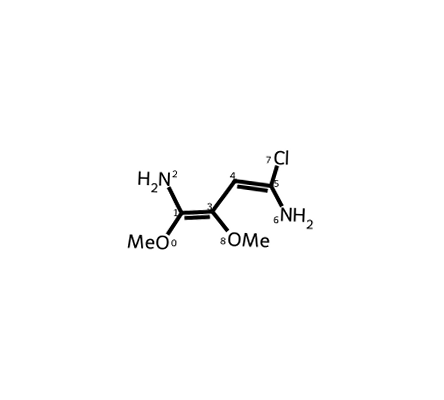 CO/C(N)=C(/C=C(\N)Cl)OC